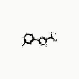 CCC(N)c1nc(-c2ccnc(C)c2)no1